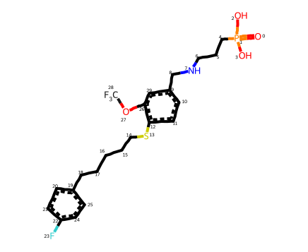 O=P(O)(O)CCCNCc1ccc(SCCCCCc2ccc(F)cc2)c(OC(F)(F)F)c1